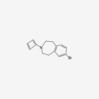 Brc1ccc2c(c1)CCN(C1=CC=C1)CC2